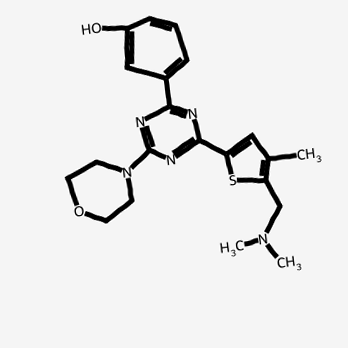 Cc1cc(-c2nc(-c3cccc(O)c3)nc(N3CCOCC3)n2)sc1CN(C)C